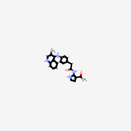 CC(=O)c1cc[nH]c1NC(=O)Cc1ccc(Nc2c(C)cnc3ccccc23)cc1